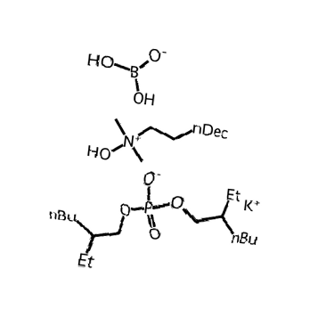 CCCCC(CC)COP(=O)([O-])OCC(CC)CCCC.CCCCCCCCCCCC[N+](C)(C)O.[K+].[O-]B(O)O